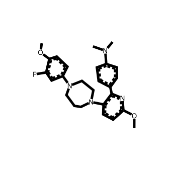 COc1ccc(N2CCCN(c3ccc(OC)c(F)c3)CC2)c(-c2ccc(N(C)C)cc2)n1